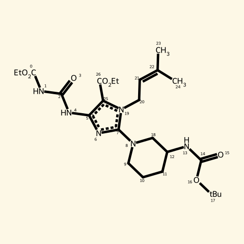 CCOC(=O)NC(=O)Nc1nc(N2CCCC(NC(=O)OC(C)(C)C)C2)n(CC=C(C)C)c1C(=O)OCC